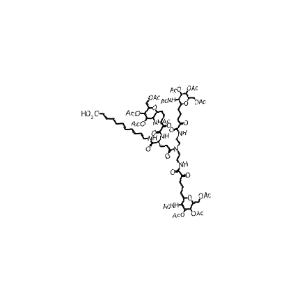 CC(=O)NC1C(CCCC(=O)C(=O)NCCN(CCNC(=O)C(=O)CCCC2OC(COC(C)=O)C(OC(C)=O)C(OC(C)=O)C2NC(C)=O)C(=O)CC[C@H](NC(=O)C(=O)CCCC2OC(COC(C)=O)C(OC(C)=O)C(OC(C)=O)C2NC(C)=O)C(=O)NCCCCCCCCCCC(=O)O)OC(COC(C)=O)C(OC(C)=O)C1OC(C)=O